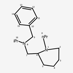 CCCN1CCCCC1CN(Cc1ccccc1)C(C)C